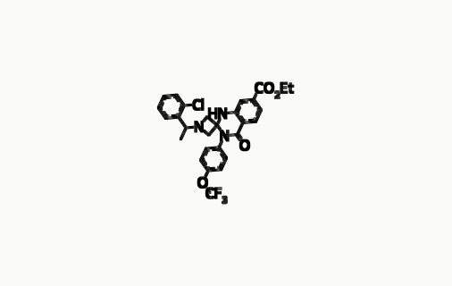 CCOC(=O)c1ccc2c(c1)NC1(CN(C(C)c3ccccc3Cl)C1)N(c1ccc(OC(F)(F)F)cc1)C2=O